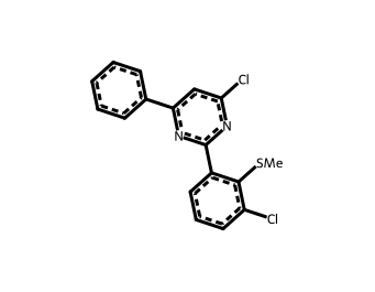 CSc1c(Cl)cccc1-c1nc(Cl)cc(-c2ccccc2)n1